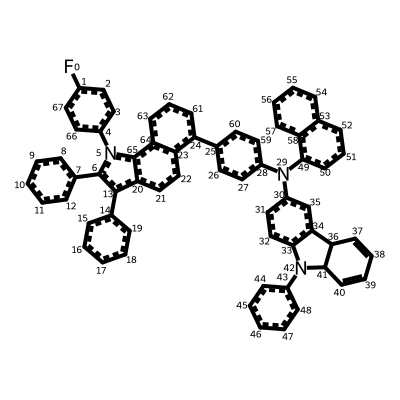 Fc1ccc(-n2c(-c3ccccc3)c(-c3ccccc3)c3ccc4c(-c5ccc(N(c6ccc7c(c6)C6C=CC=CC6N7c6ccccc6)c6cccc7ccccc67)cc5)cccc4c32)cc1